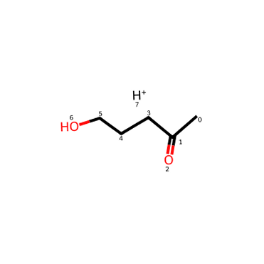 CC(=O)CCCO.[H+]